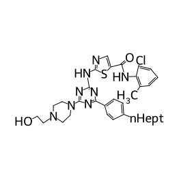 CCCCCCCc1ccc(-c2nc(Nc3ncc(C(=O)Nc4c(C)cccc4Cl)s3)nc(N3CCN(CCO)CC3)n2)cc1